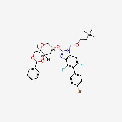 C[Si](C)(C)CCOCn1c(O[C@H]2CO[C@@H]3COC(c4ccccc4)O[C@H]3C2)nc2c(F)c(-c3ccc(Br)cc3)c(F)cc21